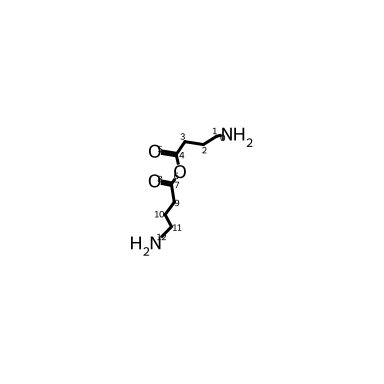 NCCCC(=O)OC(=O)CCCN